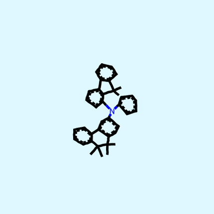 CC1(C)c2ccccc2-c2cccc(N(c3ccccc3)c3ccc4c(c3)-c3ccccc3C(C)(C)C4(C)C)c21